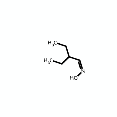 CCC(/C=N\O)CC